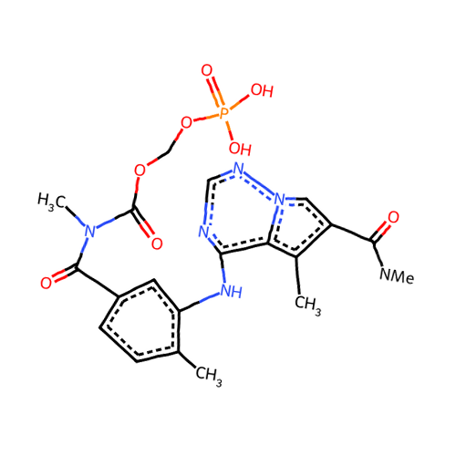 CNC(=O)c1cn2ncnc(Nc3cc(C(=O)N(C)C(=O)OCOP(=O)(O)O)ccc3C)c2c1C